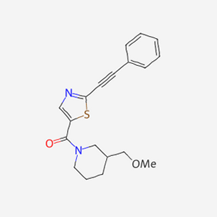 COCC1CCCN(C(=O)c2cnc(C#Cc3ccccc3)s2)C1